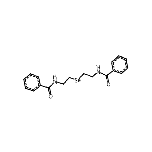 O=C(NCC[Se]CCNC(=O)c1ccccc1)c1ccccc1